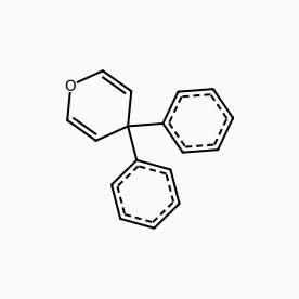 C1=CC(c2ccccc2)(c2ccccc2)C=CO1